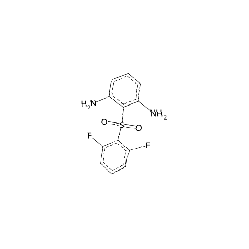 Nc1cccc(N)c1S(=O)(=O)c1c(F)cccc1F